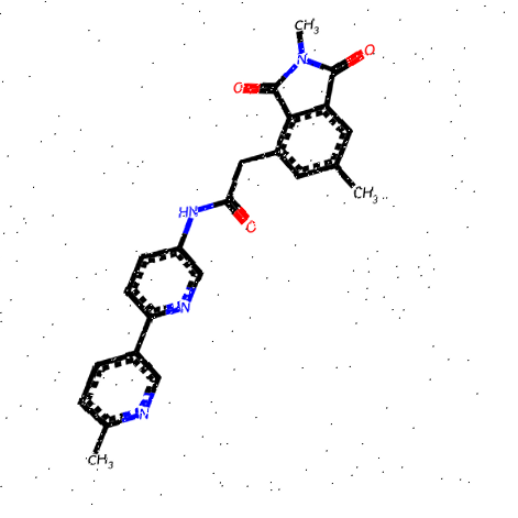 Cc1cc(CC(=O)Nc2ccc(-c3ccc(C)nc3)nc2)c2c(c1)C(=O)N(C)C2=O